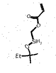 C=CC(=O)OC[SiH2]OC(C)(C)CC